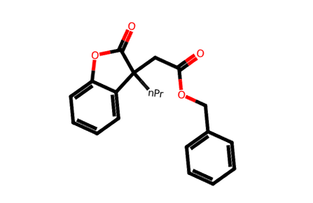 CCCC1(CC(=O)OCc2ccccc2)C(=O)Oc2ccccc21